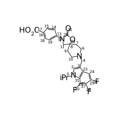 CC(C)n1cc(CN2CCC3(CC2)CN(c2ccc(C(=O)O)cc2)C(=O)O3)c2cc(F)c(F)c(F)c21